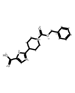 O=C(O)c1cnc(C2CCN(C(=O)OCc3ccccc3)CC2)s1